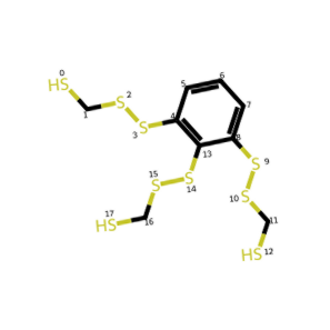 SCSSc1cccc(SSCS)c1SSCS